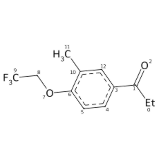 CCC(=O)c1ccc(OCC(F)(F)F)c(C)c1